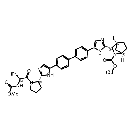 COC(=O)N[C@H](C(=O)N1CCC[C@H]1c1ncc(-c2ccc(-c3ccc(-c4cnc([C@@H]5[C@H]6CC[C@H](C6)N5C(=O)OC(C)(C)C)[nH]4)cc3)cc2)[nH]1)C(C)C